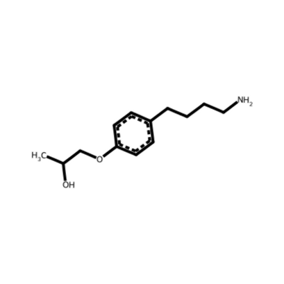 CC(O)COc1ccc(CCCCN)cc1